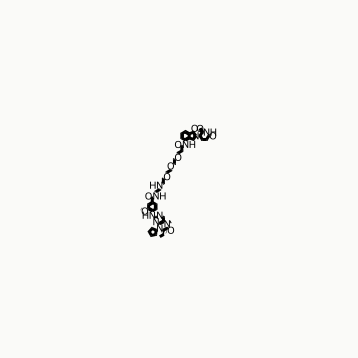 CC[C@@H]1C(=O)N(C)c2cnc(Nc3ccc(C(=O)NCCNCCOCCOCCOCCC(=O)Nc4cccc5c4CN(C4CCC(=O)NC4=O)C5=O)cc3OC)nc2N1C1CCCC1